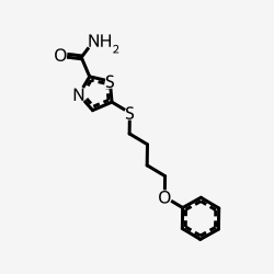 NC(=O)c1ncc(SCCCCOc2ccccc2)s1